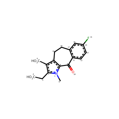 Cn1c(CC(=O)O)c(C(=O)O)c2c1C(=O)c1ccc(F)cc1CC2